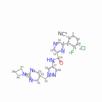 N#Cc1ccc(Cl)c(F)c1-c1cncc(C(=O)Nc2cnn(Cc3cnc(N4CCC4)nc3)c2)n1